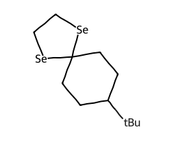 CC(C)(C)C1CCC2(CC1)[Se]CC[Se]2